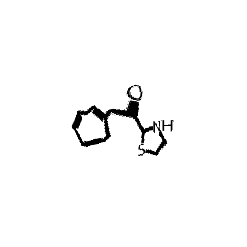 O=C(c1ccccc1)C1NCCS1